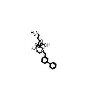 NCCCCC1(C(=O)O)CN(Cc2cccc(-c3ccccc3)c2)CCP1(=O)O